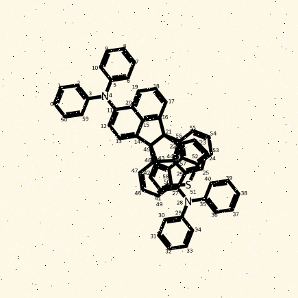 c1ccc(N(c2ccccc2)c2ccc3c4c(cccc24)C24c5cccc6c(N(c7ccccc7)c7ccccc7)ccc(c56)C32c2cccc3sc5cccc4c5c23)cc1